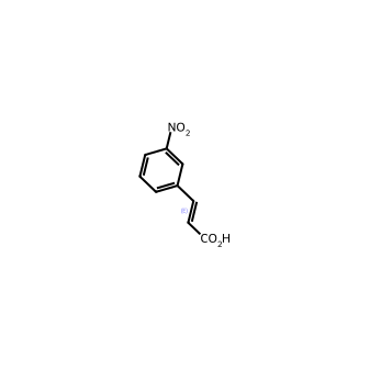 O=C(O)/C=C/c1cccc([N+](=O)[O-])c1